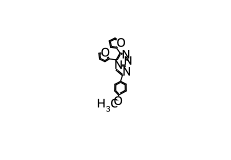 COc1ccc(-c2cn3c(-c4ccco4)c(-c4ccco4)nnc3n2)cc1